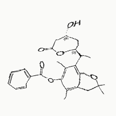 Cc1c2c(c(C(C)[C@@H]3C[C@@H](O)CC(=O)O3)c(C)c1OC(=O)c1ccccc1)OC(C)(C)C2